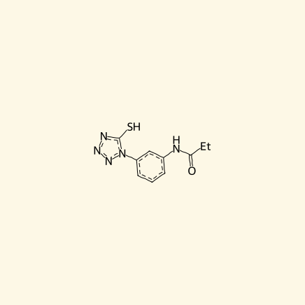 CCC(=O)Nc1cccc(-n2nnnc2S)c1